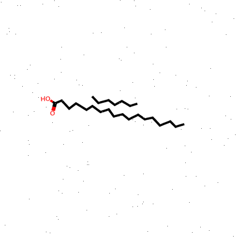 CCCCCCC.CCCCCCCCCCCCCCCCCC(=O)O